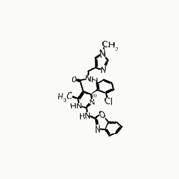 CC1=C(C(=O)NCc2cn(C)cn2)[C@@H](c2ccccc2Cl)N=C(Nc2nc3ccccc3o2)N1